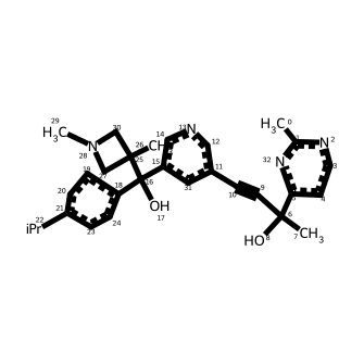 Cc1nccc(C(C)(O)C#Cc2cncc(C(O)(c3ccc(C(C)C)cc3)C3(C)CN(C)C3)c2)n1